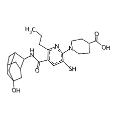 CCCc1nc(N2CCC(C(=O)O)CC2)c(S)cc1C(=O)NC1C2CC3CC1CC(O)(C3)C2